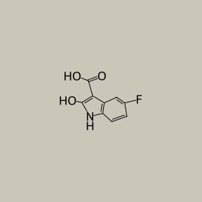 O=C(O)c1c(O)[nH]c2ccc(F)cc12